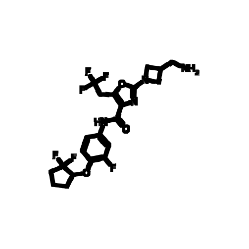 NCC1CN(c2nc(C(=O)Nc3ccc(OC4CCCC4(F)F)c(F)c3)c(CC(F)(F)F)o2)C1